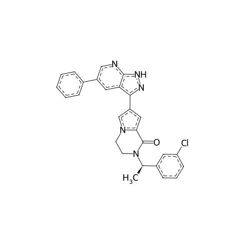 C[C@H](c1cccc(Cl)c1)N1CCn2cc(-c3n[nH]c4ncc(-c5ccccc5)cc34)cc2C1=O